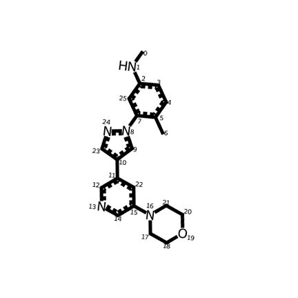 CNc1ccc(C)c(-n2cc(-c3cncc(N4CCOCC4)c3)cn2)c1